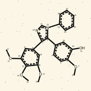 COc1ccc(-c2c(-c3cc(OC)c(OC)c(OC)c3)ncn2-c2ccccc2)cc1O